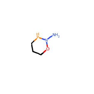 NN1OCCCP1